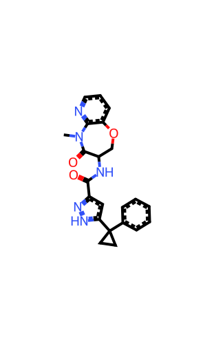 CN1C(=O)C(NC(=O)c2cc(C3(c4ccccc4)CC3)[nH]n2)COc2cccnc21